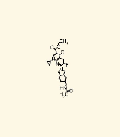 CCOC(=O)c1cn(C2CC2)c2nc(-n3cc4ccc(CNC(C)=O)cc4c3)c(F)cc2c1=O